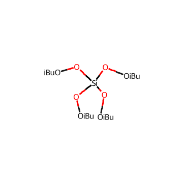 CC(C)COO[Si](OOCC(C)C)(OOCC(C)C)OOCC(C)C